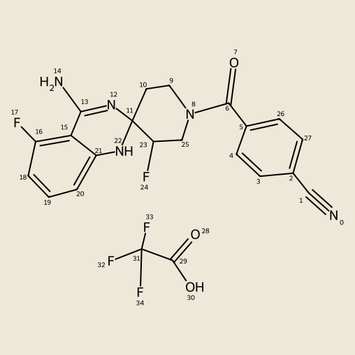 N#Cc1ccc(C(=O)N2CCC3(N=C(N)c4c(F)cccc4N3)C(F)C2)cc1.O=C(O)C(F)(F)F